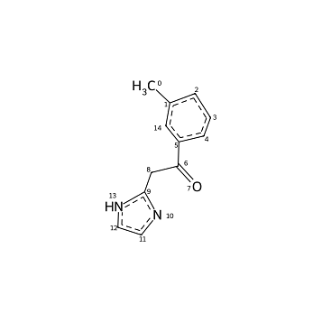 Cc1cccc(C(=O)Cc2ncc[nH]2)c1